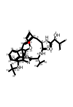 CC(C)[C@H](O)C(=O)N[C@H]1Cc2ccc3c(c2)C2(c4ccccc4NC2O3)c2oc(nc2C(=O)NC(C)(C)C)[C@H](C(C)C)NC1=O